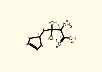 CC(C)(CC1CC=CC1)C(N)C(=O)O